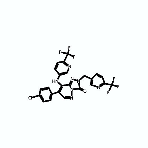 O=c1n(Cc2ccc(C(F)(F)F)nc2)nc2c(Nc3ccc(C(F)(F)F)nc3)c(-c3ccc(Cl)cc3)cnn12